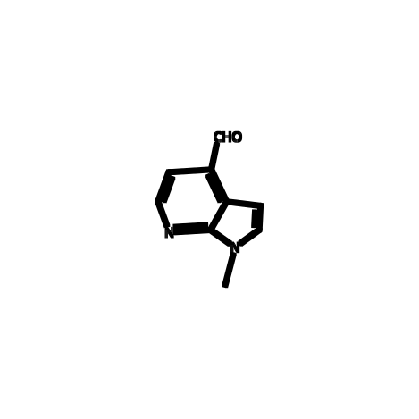 Cn1ccc2c(C=O)ccnc21